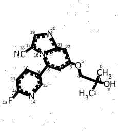 CC(C)(O)COc1cc(-c2ccc(F)nc2)n2c(C#N)cnc2c1